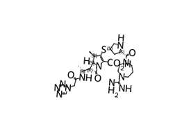 C[C@@H](NC(=O)Cn1cnnn1)[C@H]1C(=O)N2C(C(=O)O)=C(S[C@@H]3CN[C@H](C(=O)N4CCCN(C(=N)N)CC4)C3)[C@H](C)[C@H]12